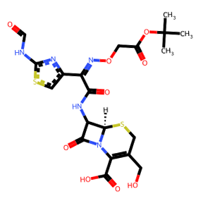 CC(C)(C)OC(=O)CO/N=C(\C(=O)NC1C(=O)N2C(C(=O)O)=C(CO)CS[C@H]12)c1csc(NC=O)n1